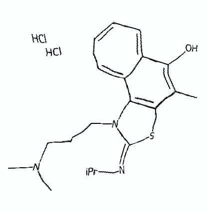 Cc1c(O)c2ccccc2c2c1sc(=NC(C)C)n2CCCN(C)C.Cl.Cl